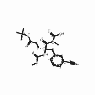 COC(=O)N[C@](CCC(=O)OC(C)(C)C)(Cc1cccc(C#N)c1)C(=O)N(C)C(=O)O